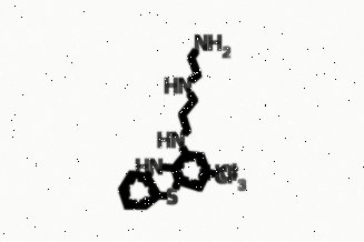 Cl.NCCNCCCNc1cc(C(F)(F)F)cc2c1Nc1ccccc1S2